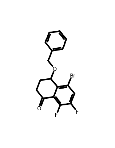 O=C1CCC(OCc2ccccc2)c2c(Br)cc(F)c(F)c21